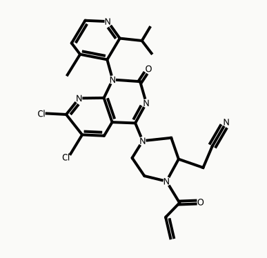 C=CC(=O)N1CCN(c2nc(=O)n(-c3c(C)ccnc3C(C)C)c3nc(Cl)c(Cl)cc23)CC1CC#N